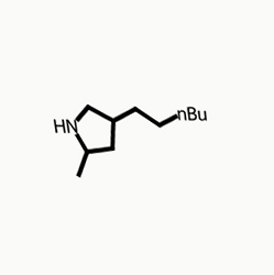 [CH2]CCCCCC1CNC(C)C1